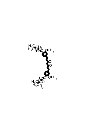 COc1cc(/C=C/C(=O)CC(=O)/C=C/c2ccc(ONC(=O)OC(C)(C)C)c(OC)c2)ccc1ONC(=O)OC(C)(C)C